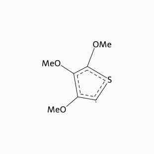 COc1[c]sc(OC)c1OC